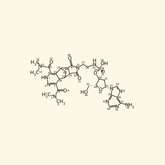 CN(C)C(=O)C1=NNC(C(=O)N(C)C)=C2C3CC(C12)C1C(=O)N(CCNP(=O)(O)OC2C[C@H](n4cnc5c(N)ncnc54)O[C@@H]2CO)C(=O)C31